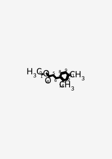 CCOC(=O)CCc1ccc(C)cc1C